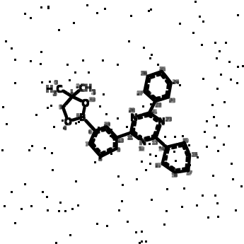 CC1(C)COB(c2cccc(-c3nc(-c4ccccc4)nc(-c4ccccc4)n3)c2)O1